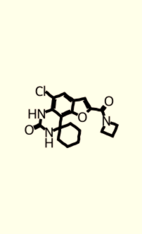 O=C1Nc2c(Cl)cc3cc(C(=O)N4CCC4)oc3c2C2(CCCCC2)N1